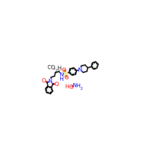 NO.O=C(O)[C@@H](CCCN1C(=O)c2ccccc2C1=O)NS(=O)(=O)c1ccc(N2CCC(c3ccccc3)CC2)cc1